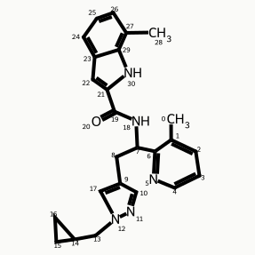 Cc1cccnc1C(Cc1cnn(CC2CC2)c1)NC(=O)c1cc2cccc(C)c2[nH]1